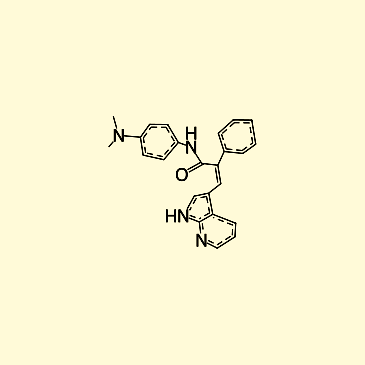 CN(C)c1ccc(NC(=O)C(=Cc2c[nH]c3ncccc23)c2ccccc2)cc1